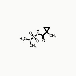 CN(C)S(=O)(=O)NC(=O)C1(C)CC1